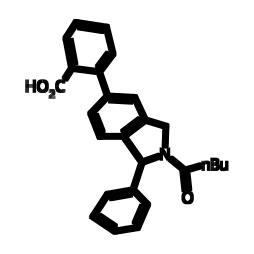 CCCCC(=O)N1Cc2cc(-c3ccccc3C(=O)O)ccc2C1c1ccccc1